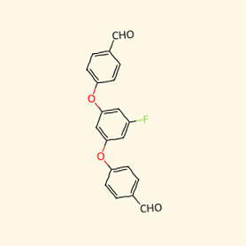 O=Cc1ccc(Oc2cc(F)cc(Oc3ccc(C=O)cc3)c2)cc1